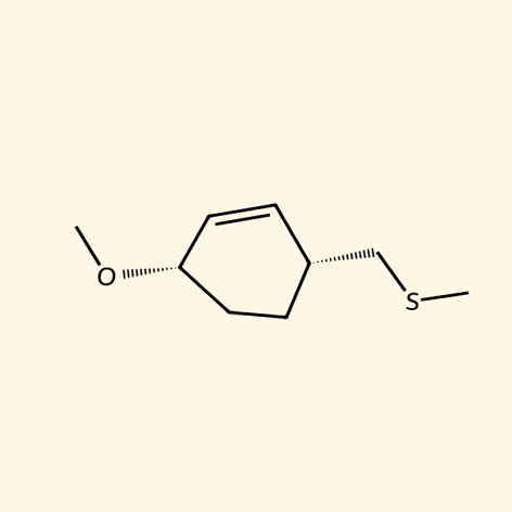 CO[C@@H]1C=C[C@H](CSC)CC1